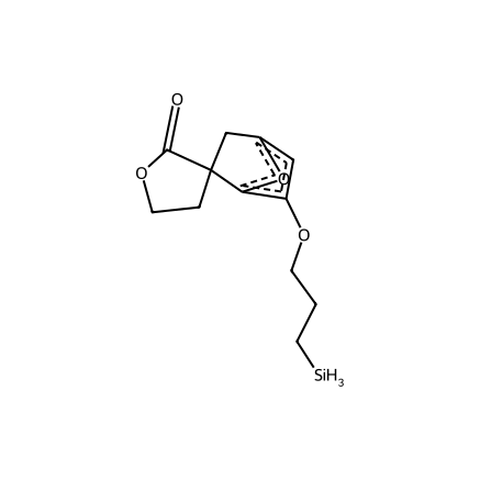 O=C1OCCC12Cc1cc(OCCC[SiH3])c2o1